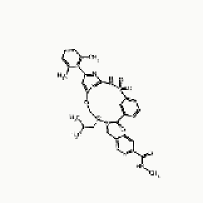 CNC(=O)c1ccc(CN2C(=O)c3cccc(c3)S(=O)(=O)Nc3nc(cc(-c4c(C)cccc4C)n3)OC[C@H]2CC(C)C)cn1